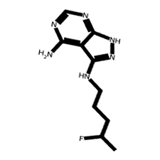 CC(F)CCCNc1n[nH]c2ncnc(N)c12